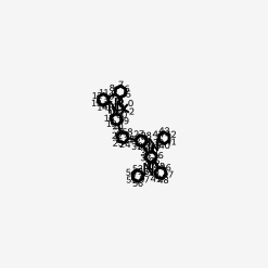 CC1(C)B2c3ccccc3-c3ccccc3N2c2ccc(-c3cccc(-c4ccc5c(c4)c4cc6c(cc4n5-c4ccccc4)c4ccccc4n6-c4ccccc4)c3)cc21